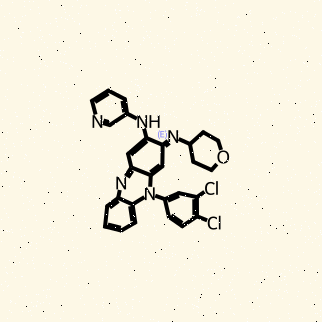 Clc1ccc(-n2c3c/c(=N\C4CCOCC4)c(Nc4cccnc4)cc-3nc3ccccc32)cc1Cl